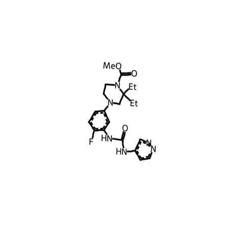 CCC1(CC)CN(c2ccc(F)c(NC(=O)Nc3ccnnc3)c2)CCN1C(=O)OC